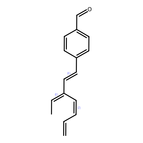 C=C\C=C/C(/C=C/c1ccc(C=O)cc1)=C\C